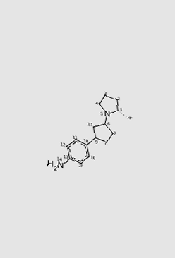 C[C@H]1CCCN1C1CCC(c2ccc(N)cc2)C1